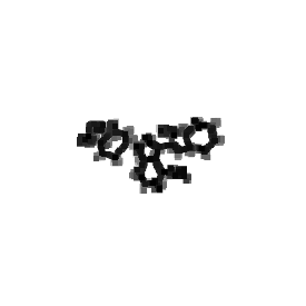 Nc1ncnc2c1c(-c1cc3cccnc3[nH]1)nn2[C@H]1CC[C@@H](NC(=O)O)CC1